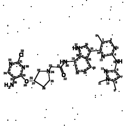 Cc1cnc(Nc2cc(C)n(C)n2)nc1-c1c[nH]c2c(NC(=O)CN3CC[C@H](Oc4nc(Cl)ncc4N)C3)cccc12